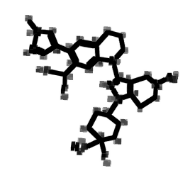 CC(=O)N1CCc2c(c(N3CCCc4cc(-c5cnn(C)c5)c(C(F)F)cc43)nn2C2CCC(F)(P)CC2)C1